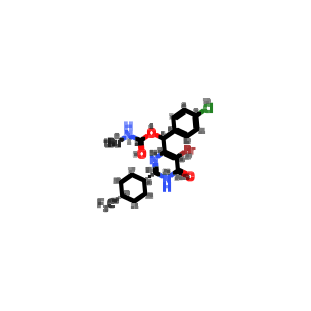 CC(C)(C)NC(=O)OC(c1ccc(Cl)cc1)c1nc([C@H]2CC[C@@H](C(F)(F)F)CC2)[nH]c(=O)c1Br